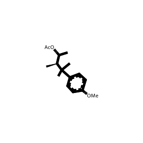 COc1ccc(C(C)(C)[C@@H](C)C(C)OC(C)=O)cc1